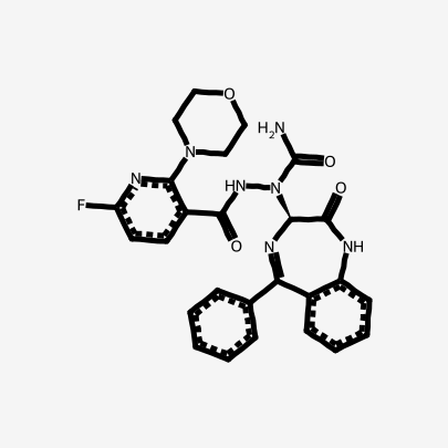 NC(=O)N(NC(=O)c1ccc(F)nc1N1CCOCC1)[C@@H]1N=C(c2ccccc2)c2ccccc2NC1=O